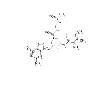 CCC(C)[C@H](N)C(=O)OCC[C@@H](COC(=O)CCCC(C)=O)Cn1cnc2c(=O)[nH]c(N)nc21